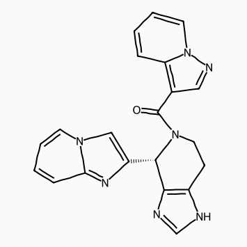 O=C(c1cnn2ccccc12)N1CCc2[nH]cnc2[C@@H]1c1cn2ccccc2n1